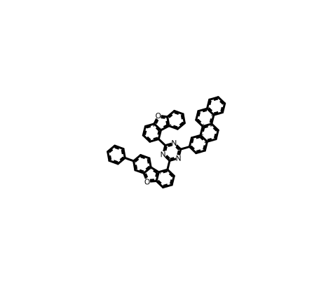 c1ccc(-c2ccc3c(c2)oc2cccc(-c4nc(-c5ccc6ccc7c8ccccc8ccc7c6c5)nc(-c5cccc6oc7ccccc7c56)n4)c23)cc1